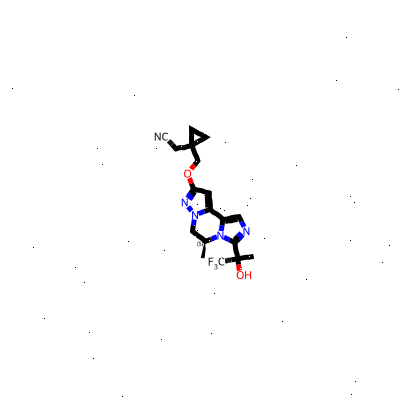 C[C@H]1Cn2nc(OCC3(CC#N)CC3)cc2-c2cnc(C(C)(O)C(F)(F)F)n21